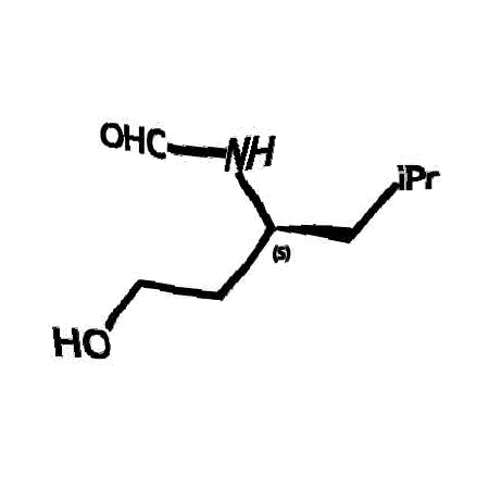 CC(C)C[C@@H](CCO)NC=O